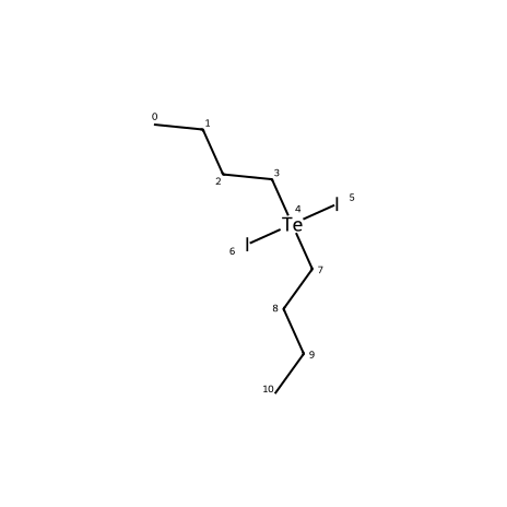 CCCC[Te](I)(I)CCCC